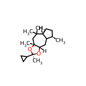 C[C@@H]1CC[C@@H]2C1C[C@@H]1O[C@@](C)(C3CC3)O[C@]1(C)CC2(C)C